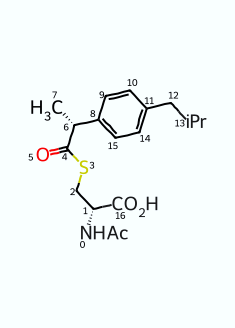 CC(=O)N[C@H](CSC(=O)[C@H](C)c1ccc(CC(C)C)cc1)C(=O)O